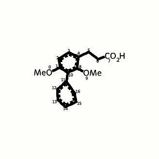 COc1ccc(CCC(=O)O)c(OC)c1-c1ccccc1